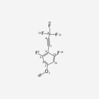 FOc1cc(F)c(C#CC(F)(F)F)c(F)c1